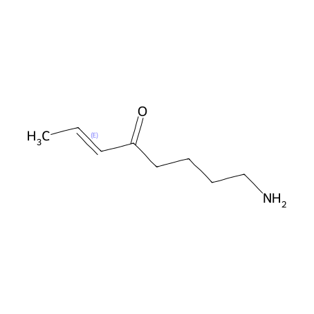 C/C=C/C(=O)CCCCN